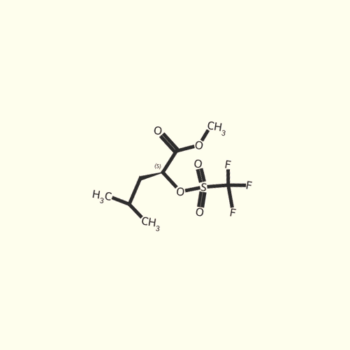 COC(=O)[C@H](CC(C)C)OS(=O)(=O)C(F)(F)F